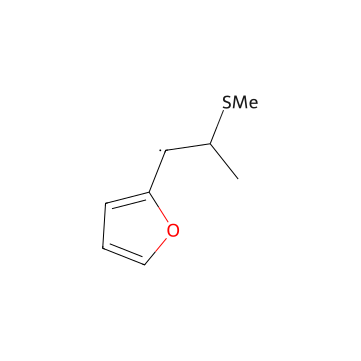 CSC(C)[CH]c1ccco1